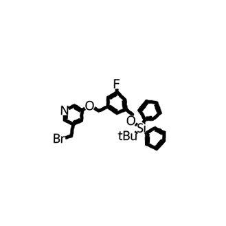 CC(C)(C)[Si](OCc1cc(F)cc(COc2cncc(CBr)c2)c1)(c1ccccc1)c1ccccc1